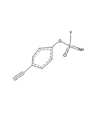 C#Cc1ccc(OS(=N)(=O)F)cc1